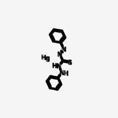 S=C(N=Nc1ccccc1)NNc1ccccc1.[Hg]